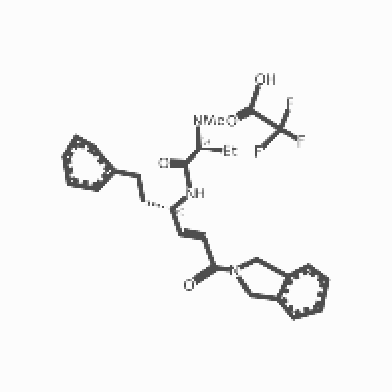 CC[C@H](NC)C(=O)N[C@H](C=CC(=O)N1Cc2ccccc2C1)CCc1ccccc1.O=C(O)C(F)(F)F